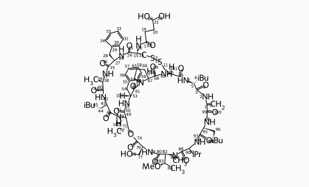 C=C1NC(=O)[C@H]([C@@H](C)CC)NC(=O)[C@@H]2CSSC[C@H](NC(=O)CCC(O)O)C(=O)N[C@H](Cc3ccccc3)C(=O)N[C@H](C)C(=O)NC(C[C@@H](C)CC)C(=O)N[C@@H](C(=O)N[C@H](Cc3ccccc3)C(=O)N3CCC[C@H]3C(=O)N2)[C@@H](C)OC(=O)[C@H](CO)NC(=O)[C@H]([C@@H](C)OC)N(C)C(=O)C(C(C)C)NC(=O)[C@H](C[C@H](C)CC)NC1=O